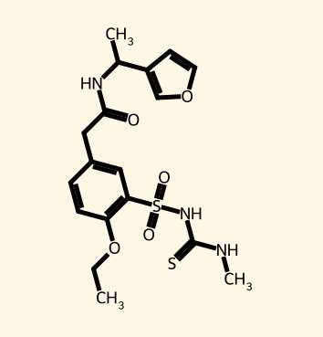 CCOc1ccc(CC(=O)NC(C)c2ccoc2)cc1S(=O)(=O)NC(=S)NC